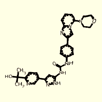 CC(C)(O)c1ccc(-c2cc(NC(=O)Nc3ccc(-c4cn5c(N6CCOCC6)cccc5n4)cc3)[nH]n2)cn1